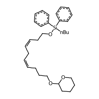 CCCC[Si](OCC/C=C\C/C=C\CCCOC1CCCCO1)(c1ccccc1)c1ccccc1